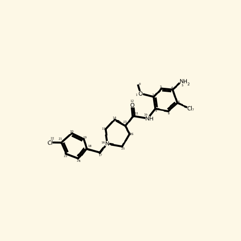 COc1cc(N)c(Cl)cc1NC(=O)C1CCN(Cc2ccc(Cl)cc2)CC1